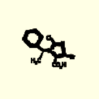 C[C@H](c1ccccc1)n1c(Cl)nc(Br)c1C(=O)O